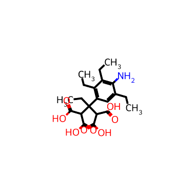 CCc1cc(C(CC)(C(C(=O)O)C(=O)O)C(C(=O)O)C(=O)O)c(CC)c(CC)c1N